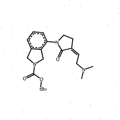 CN(C)CC=C1CCN(c2cccc3c2CN(C(=O)OC(C)(C)C)C3)C1=O